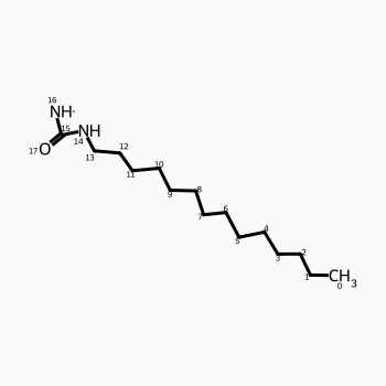 CCCCCCCCCCCCCCNC([NH])=O